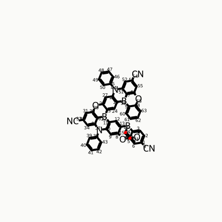 N#Cc1cc2c3c(c1)Oc1cc4c(cc1B3c1ccccc1O2)B1c2cc3c(cc2Oc2cc(C#N)cc(c21)N4c1ccccc1)N(c1ccccc1)c1cc(C#N)cc2c1B3c1ccccc1O2